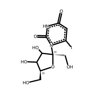 O=c1cc(I)n([C@@]2(CO)O[C@@H](CO)C(O)C2O)c(=O)[nH]1